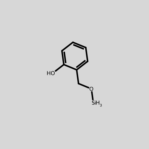 Oc1ccccc1CO[SiH3]